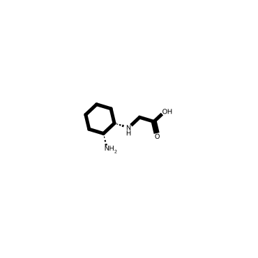 N[C@@H]1CCCC[C@@H]1NCC(=O)O